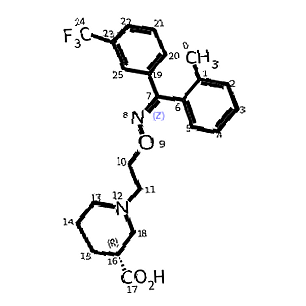 Cc1ccccc1/C(=N\OCCN1CCC[C@@H](C(=O)O)C1)c1cccc(C(F)(F)F)c1